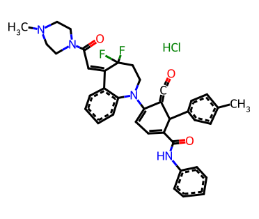 Cc1ccc(C2C(=C=O)C(N3CCC(F)(F)C(=CC(=O)N4CCN(C)CC4)c4ccccc43)=CC=C2C(=O)Nc2ccccc2)cc1.Cl